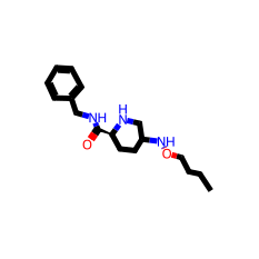 CCCCONC1CC[C@@H](C(=O)NCc2ccccc2)NC1